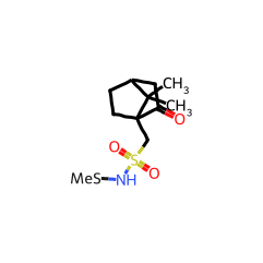 CSNS(=O)(=O)CC12CCC(CC1=O)C2(C)C